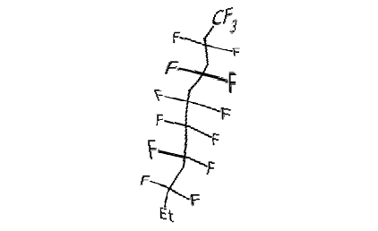 [CH2]CC(F)(F)C(F)(F)C(F)(F)C(F)(F)C(F)(F)C(F)(F)C(F)(F)F